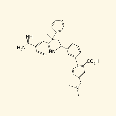 CN(C)Cc1ccc(-c2cccc(C3CC(C)(c4ccccc4)c4cc(C(=N)N)ccc4N3)c2)c(C(=O)O)c1